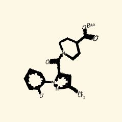 CCCCC(=O)C1CCN(C(=O)c2cc(C(F)(F)F)nn2-c2ccccc2Cl)CC1